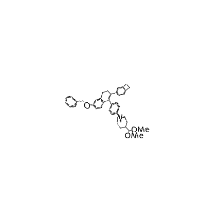 COC(OC)C1CCN(c2ccc(C3=C(c4ccc5c(c4)CC5)CCc4cc(OCc5ccccc5)ccc43)cc2)CC1